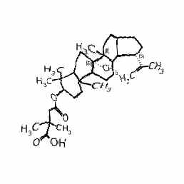 C=C(C)[C@H]1CCC2CC[C@]3(C)C(CCC4C5(C)CCC(OC(=O)CC(C)(C)C(=O)O)C(C)(C)C5CC[C@]43C)C21